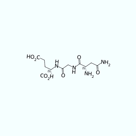 NC(=O)C[C@H](N)C(=O)NCC(=O)N[C@@H](CCC(=O)O)C(=O)O